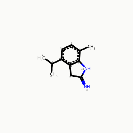 Cc1ccc(C(C)C)c2c1NC(=N)C2